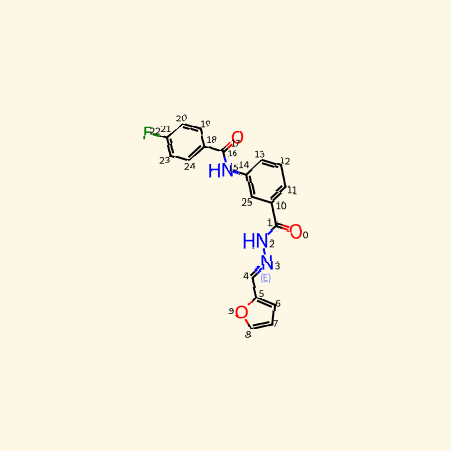 O=C(N/N=C/c1ccco1)c1cccc(NC(=O)c2ccc(F)cc2)c1